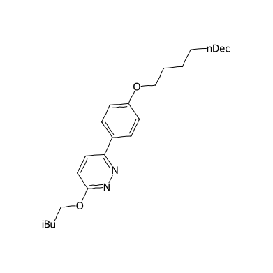 CCCCCCCCCCCCCCOc1ccc(-c2ccc(OCC(C)CC)nn2)cc1